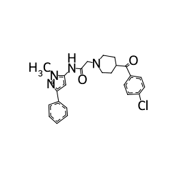 Cn1nc(-c2ccccc2)cc1NC(=O)CN1CCC(C(=O)c2ccc(Cl)cc2)CC1